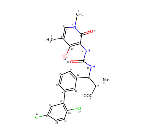 Cc1cn(C)c(=O)c(NC(=O)NC(CC(=O)[O-])c2cccc(-c3cc(Cl)ccc3Cl)c2)c1O.[Na+]